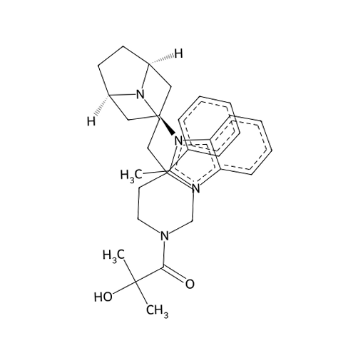 Cc1nc2ccccc2n1[C@H]1C[C@H]2CC[C@@H](C1)N2CCC1(c2ccccc2)CCN(C(=O)C(C)(C)O)CC1